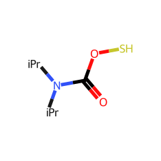 CC(C)N(C(=O)OS)C(C)C